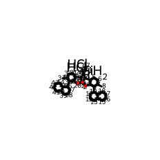 CC1=Cc2c(ccc(C)c2-c2cccc3ccccc23)[CH]1[Zr]([CH3])([CH3])(=[SiH2])[CH]1C(C)=Cc2c1ccc(C)c2-c1cccc2ccccc12.Cl.Cl